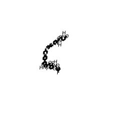 O=C1CC[C@@H](NC(=O)c2ccc(N3CC4(CN(CC5CCN(c6ccc(-c7cnc8[nH]cc(C(=O)c9c(F)ccc(NS(=O)(=O)N%10CC[C@@H](F)C%10)c9F)c8c7)cc6)CC5)C4)C3)cn2)C(=O)N1